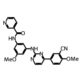 COc1cc(NC(=O)c2cccnc2)cc(Nc2nccc(-c3ccc(OC)c(C#N)c3)n2)c1